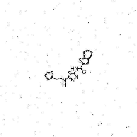 O=C(Nc1nnc(NCCc2cccs2)s1)c1cc2ccccc2s1